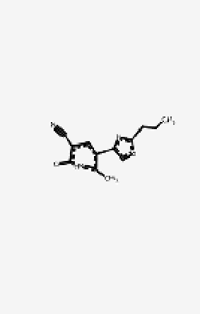 CCCc1nc(-c2cc(C#N)c(=O)[nH]c2C)cs1